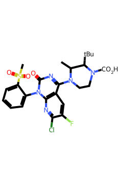 CC1C(C(C)(C)C)N(C(=O)O)CCN1c1nc(=O)n(-c2ccccc2S(C)(=O)=O)c2nc(Cl)c(F)cc12